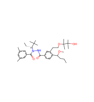 CCCC(OC)c1ccc(C(=O)NN(C(=O)c2cc(C)cc(C)c2)[C@H](CC)C(C)(C)C)cc1CCOC(C)(C)C(C)(C)O